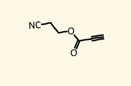 C#CC(=O)OCCC#N